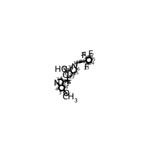 COc1ccc2nccc([C@H](F)CC[C@@H]3CCN(CC#Cc4c(F)ccc(F)c4F)C[C@@H]3C(=O)O)c2c1